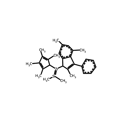 CC1=C(C)[CH]([Zr]([CH]2C(C)=C(c3ccccc3)c3c(C)cc(C)cc32)=[Si](C)C)C(C)=C1C